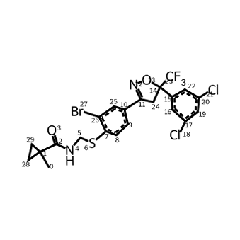 CC1(C(=O)NCSc2ccc(C3=NOC(c4cc(Cl)cc(Cl)c4)(C(F)(F)F)C3)cc2Br)CC1